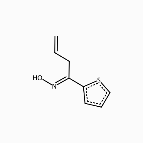 C=CCC(=NO)c1cccs1